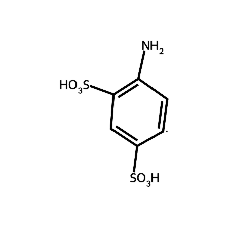 Nc1c[c]c(S(=O)(=O)O)cc1S(=O)(=O)O